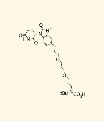 Cn1c(=O)n(C2CCC(=O)NC2=O)c2ccc(CCCOCCCOCCCN(C(=O)O)C(C)(C)C)cc21